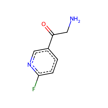 NCC(=O)c1ccc(F)nc1